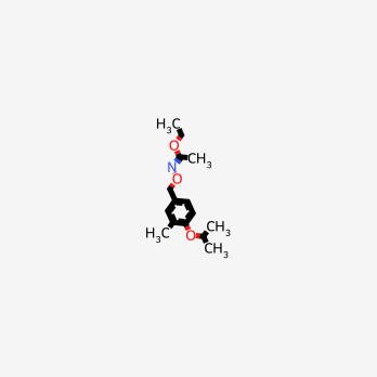 CCO/C(C)=N/OCc1ccc(OC(C)C)c(C)c1